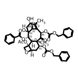 CC(=O)O[C@@]12CO[C@@H]1C[C@H](OC(=O)OCc1ccccc1)[C@@]1(C)C(=O)[C@H](OC(=O)OCc3ccccc3)C3=C(C)[C@@H](O)C[C@](O)([C@H]3C)[C@@H](OC(=O)c3ccccc3)[C@H]21